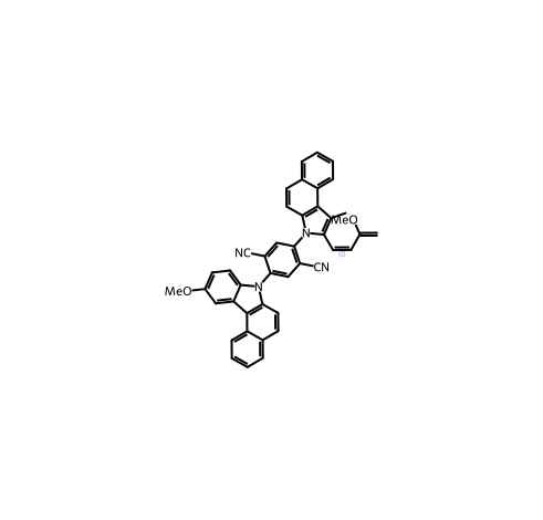 C=C(/C=C\c1c(C)c2c3ccccc3ccc2n1-c1cc(C#N)c(-n2c3ccc(OC)cc3c3c4ccccc4ccc32)cc1C#N)OC